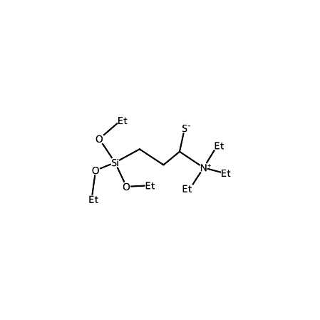 CCO[Si](CCC([S-])[N+](CC)(CC)CC)(OCC)OCC